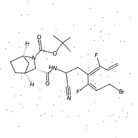 C=C/C(F)=C(CC(C#N)NC(=O)[C@@H]1[C@H]2CC[C@H](C2)N1C(=O)OC(C)(C)C)\C(F)=C/CBr